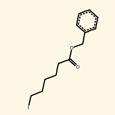 O=C(CCCCCI)OCc1ccccc1